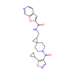 O=C(NCC1CC12CCN(C(=O)c1cnoc1C1CC1)CC2)c1cc2ccncc2o1